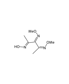 CON=C(C)C(=NOC)C(C)=NO